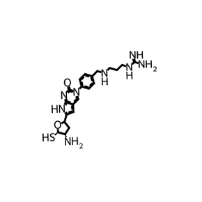 N=C(N)NCCCNCc1ccc(-n2cc3cc(C4C[C@@H](N)[C@@H](S)O4)[nH]c3nc2=O)cc1